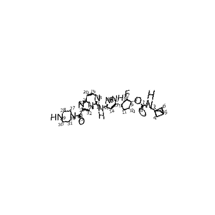 O=C(NC12CC(C1)C2)O[C@@H]1CC[C@H](c2cc(Nc3nccc4nc(C(=O)N5CCNCC5)cn34)n[nH]2)[C@@H]1F